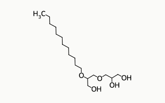 CCCCCCCCCCCCOC(CO)COCC(O)CO